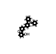 Oc1cccc2oc3ccc(-c4ccc5c(c4)c4ccccc4n5-c4ccccc4)cc3c12